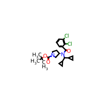 CC(C)(C)OC(=O)N1CC[C@H](N(C(=O)c2cccc(Cl)c2Cl)C(C2CC2)C2CC2)C1